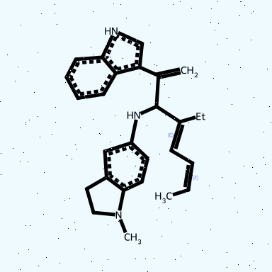 C=C(c1c[nH]c2ccccc12)C(Nc1ccc2c(c1)CCN2C)/C(=C/C=C\C)CC